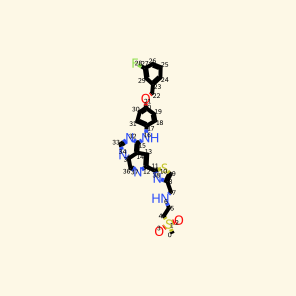 CS(=O)(=O)CCNCc1csc(-c2cc3c(Nc4ccc(OCc5cccc(F)c5)cc4)ncnc3cn2)n1